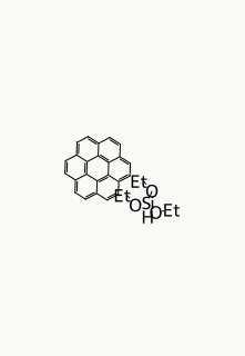 CCO[SiH](OCC)OCC.c1cc2ccc3ccc4ccc5ccc6ccc1c1c2c3c4c5c61